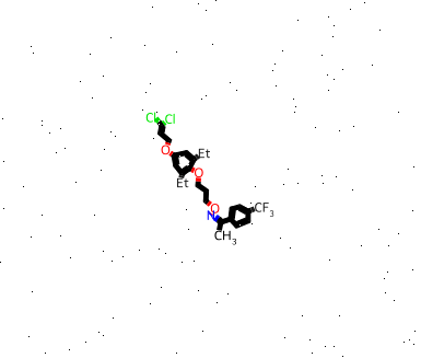 CCc1cc(OCC=C(Cl)Cl)cc(CC)c1OCCCON=C(C)c1ccc(C(F)(F)F)cc1